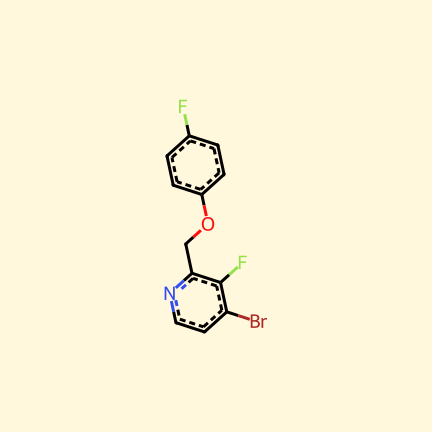 Fc1ccc(OCc2nccc(Br)c2F)cc1